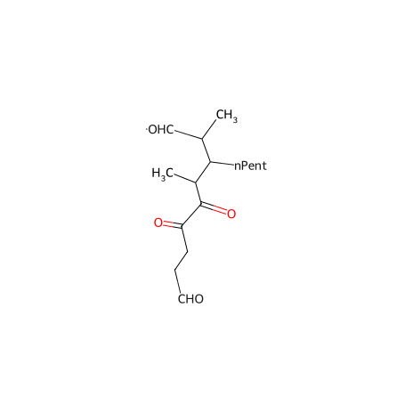 CCCCCC(C(C)[C]=O)C(C)C(=O)C(=O)CCC=O